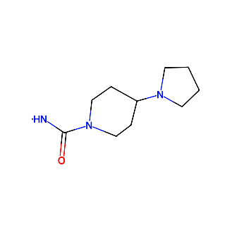 [NH]C(=O)N1CCC(N2CCCC2)CC1